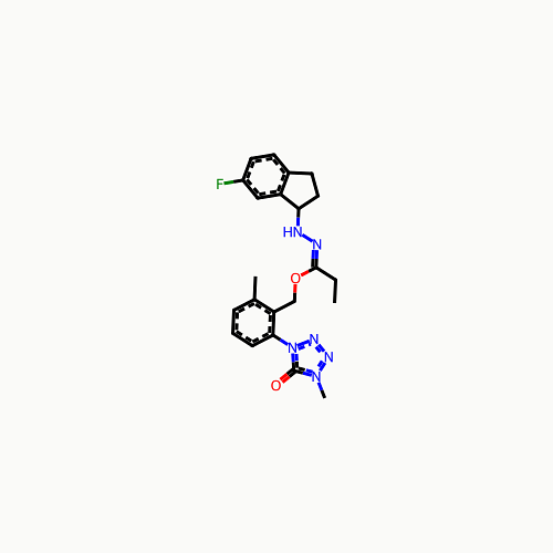 CC/C(=N/NC1CCc2ccc(F)cc21)OCc1c(C)cccc1-n1nnn(C)c1=O